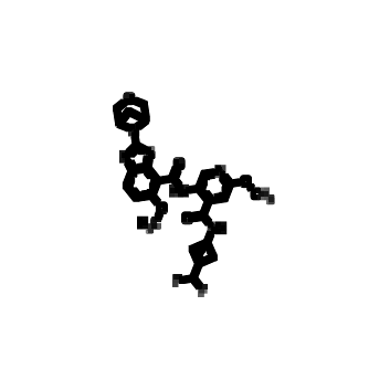 COc1cc(C(=O)NC23CC(C(F)F)(C2)C3)c(NC(=O)c2c(OC)ccc3nc(N4C5COCC4C5)sc23)cn1